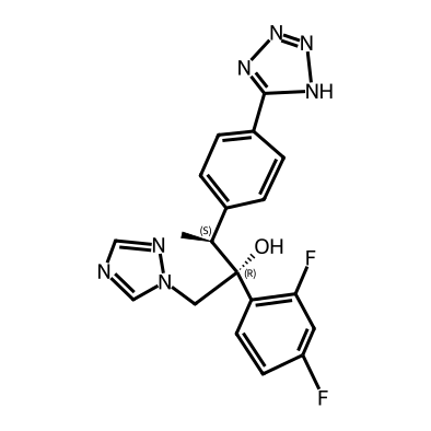 C[C@@H](c1ccc(-c2nnn[nH]2)cc1)[C@](O)(Cn1cncn1)c1ccc(F)cc1F